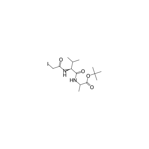 CC(NC(=O)[C@@H](NC(=O)CI)C(C)C)C(=O)OC(C)(C)C